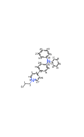 CCC[n+]1ccc(-c2ccc(N(c3ccccc3)c3ccccc3)cc2)cc1